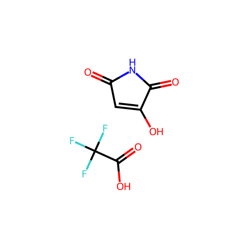 O=C(O)C(F)(F)F.O=C1C=C(O)C(=O)N1